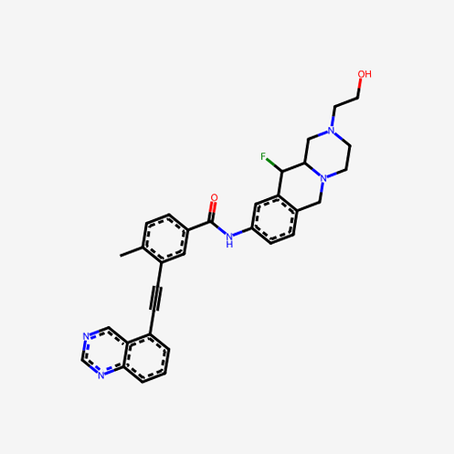 Cc1ccc(C(=O)Nc2ccc3c(c2)C(F)C2CN(CCO)CCN2C3)cc1C#Cc1cccc2ncncc12